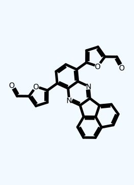 O=Cc1ccc(-c2ccc(-c3ccc(C=O)o3)c3nc4c(nc23)-c2cccc3cccc-4c23)o1